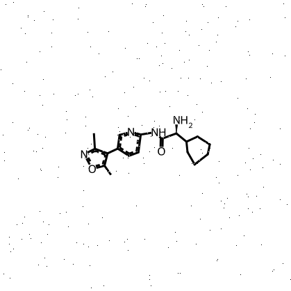 Cc1noc(C)c1-c1ccc(NC(=O)[C@@H](N)C2CCCCC2)nc1